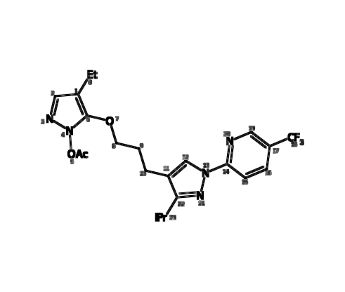 CCc1cnn(OC(C)=O)c1OCCCc1cn(-c2ccc(C(F)(F)F)cn2)nc1C(C)C